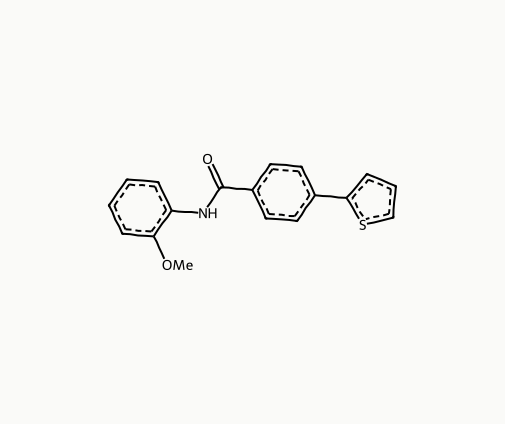 COc1ccccc1NC(=O)c1ccc(-c2cccs2)cc1